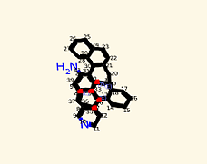 C\C=C/C(=C\C)C(/c1ccncc1)=c1/cccc/c1=C\Cc1ccc2ccccc2c1-c1cc2ccccc2cc1N